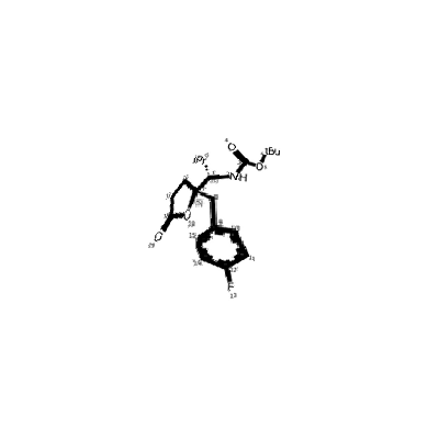 CC(C)[C@H](NC(=O)OC(C)(C)C)[C@@]1(Cc2ccc(F)cc2)CCC(=O)O1